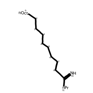 CCCCCCCCCCCCCCCCC(=N)CCC